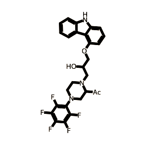 CC(=O)C1CN(c2c(F)c(F)c(F)c(F)c2F)CCN1CC(O)COc1cccc2[nH]c3ccccc3c12